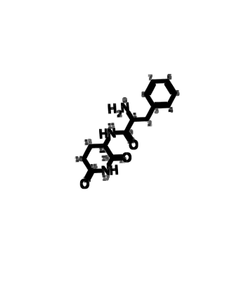 NC(Cc1ccccc1)C(=O)NC1CCC(=O)NC1=O